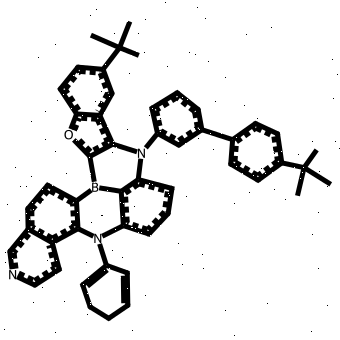 CC(C)(C)c1ccc(-c2cccc(N3c4cccc5c4B(c4ccc6cnccc6c4N5C4=CCCC=C4)c4oc5ccc(C(C)(C)C)cc5c43)c2)cc1